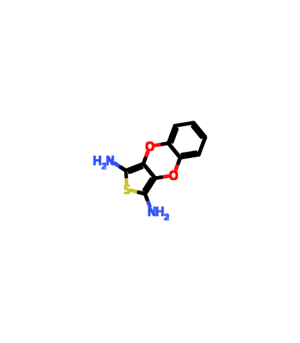 Nc1sc(N)c2c1Oc1ccccc1O2